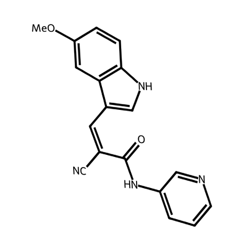 COc1ccc2[nH]cc(C=C(C#N)C(=O)Nc3cccnc3)c2c1